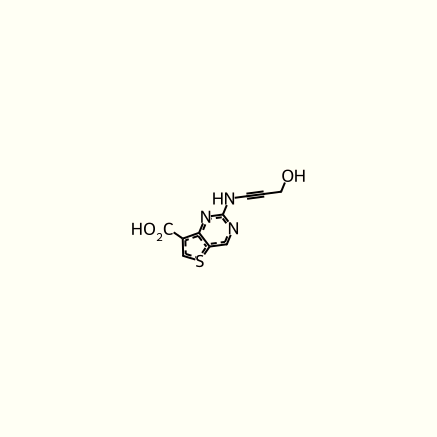 O=C(O)c1csc2cnc(NC#CCO)nc12